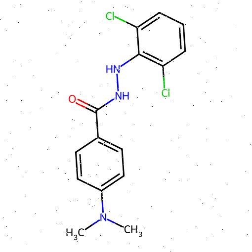 CN(C)c1ccc(C(=O)NNc2c(Cl)cccc2Cl)cc1